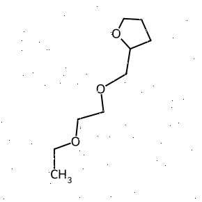 CCOCCOCC1CCCO1